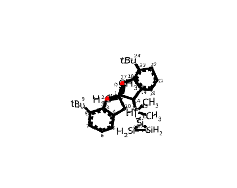 CC1=Cc2c(cccc2C(C)(C)C)[CH]1[Hf]([CH3])([CH3])([CH]1C(C)=Cc2c1cccc2C(C)(C)C)=[Si]1[SiH2][SiH2]1